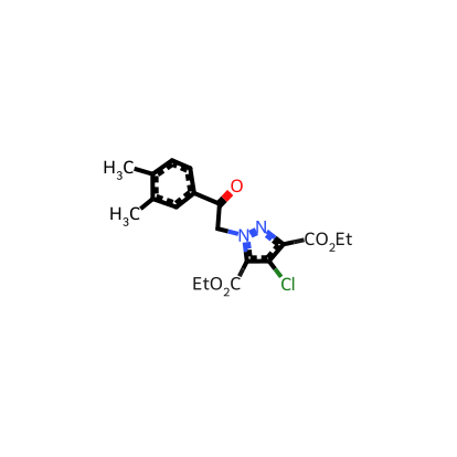 CCOC(=O)c1nn(CC(=O)c2ccc(C)c(C)c2)c(C(=O)OCC)c1Cl